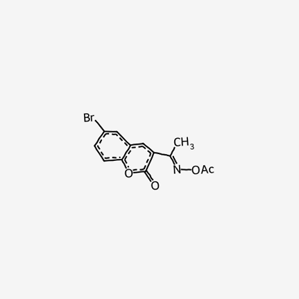 CC(=O)O/N=C(\C)c1cc2cc(Br)ccc2oc1=O